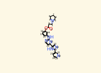 O=C(CCN1CCCCC1)Oc1cccc(Nc2nccc(-c3cnc(-c4cccnc4)[nH]3)n2)c1